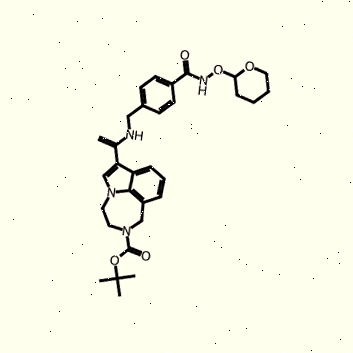 C=C(NCc1ccc(C(=O)NOC2CCCCO2)cc1)c1cn2c3c(cccc13)CN(C(=O)OC(C)(C)C)CC2